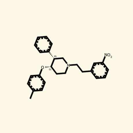 Cc1ccc(O[C@H]2CCN(CCc3cccc([N+](=O)[O-])c3)C[C@H]2c2ccccc2)cc1